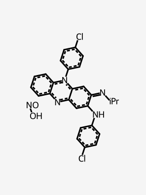 CC(C)N=c1cc2n(-c3ccc(Cl)cc3)c3ccccc3nc-2cc1Nc1ccc(Cl)cc1.O=NO